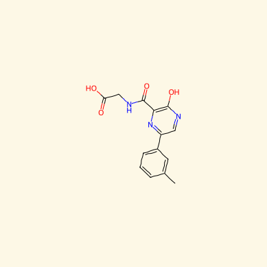 Cc1cccc(-c2cnc(O)c(C(=O)NCC(=O)O)n2)c1